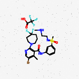 CNCCN=S(C)(=O)c1cccc(NC(=O)c2c(N3CCCC(F)(F)CC3)ncc(Br)c2C)c1.O=C(O)C(F)(F)F